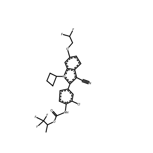 CC(OC(=O)Nc1ccc(-c2c(C#N)c3ccc(OCC(F)F)cc3n2C2CCC2)cc1Cl)C(F)(F)F